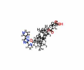 CC1(C2CC[C@]3(C(=O)N4CCC[C@H]4c4ncc(-c5cccnc5)[nH]4)CC[C@]4(C)[C@H](CC[C@@H]5[C@@]6(C)CC[C@H](OC(=O)C7CC(C(=O)O)C7(C)C)C(C)(C)[C@@H]6CC[C@]54C)[C@@H]23)CC1